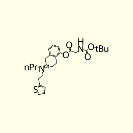 CCCN(CCc1cccs1)[C@H]1CCc2c(cccc2OC(=O)CNC(=O)OC(C)(C)C)C1